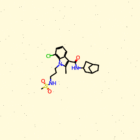 Cc1c(C(=O)NC2CC3CCC(C3)C2)c2cccc(Cl)c2n1CCCNS(C)(=O)=O